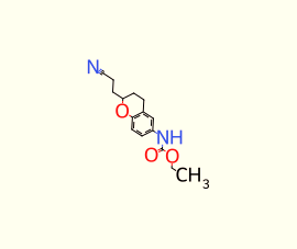 CCOC(=O)Nc1ccc2c(c1)CCC(CCC#N)O2